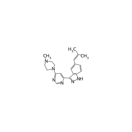 CC(C)=Cc1ccc2[nH]nc(-c3cc(N4CCN(C)CC4)ncn3)c2c1